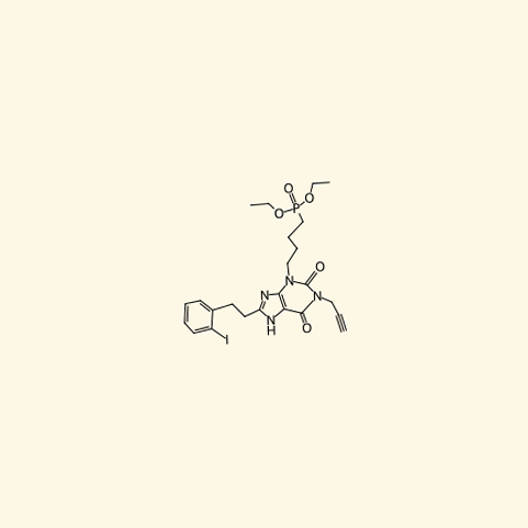 C#CCn1c(=O)c2[nH]c(CCc3ccccc3I)nc2n(CCCCP(=O)(OCC)OCC)c1=O